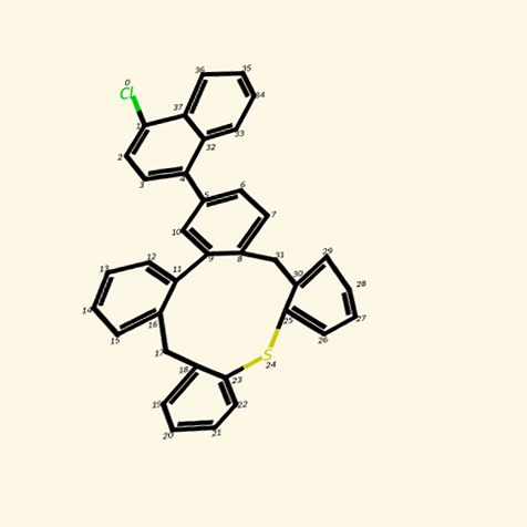 Clc1ccc(-c2ccc3c(c2)-c2ccccc2Cc2ccccc2Sc2ccccc2C3)c2ccccc12